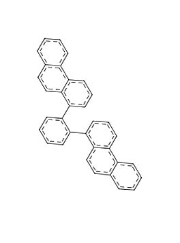 c1ccc(-c2cccc3c2ccc2ccccc23)c(-c2cccc3c2ccc2ccccc23)c1